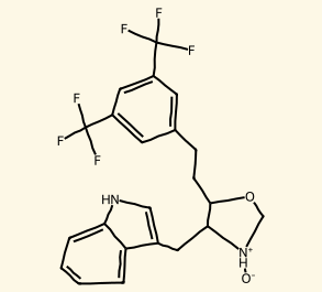 [O-][NH+]1COC(CCc2cc(C(F)(F)F)cc(C(F)(F)F)c2)C1Cc1c[nH]c2ccccc12